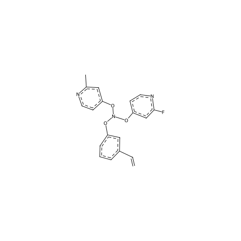 C=Cc1cccc(ON(Oc2ccnc(C)c2)Oc2ccnc(F)c2)c1